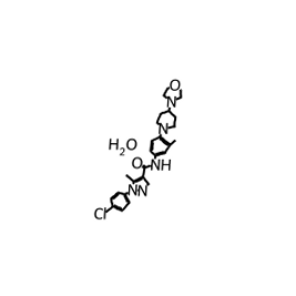 Cc1cc(NC(=O)c2cnn(-c3ccc(Cl)cc3)c2C)ccc1N1CCC(N2CCOCC2)CC1.O